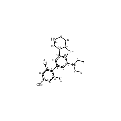 CCN(CC)c1cc(-c2c(Cl)cc(Cl)cc2Cl)cc2c1OC1CCNCC21